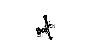 N#CCC1=CN(c2nc(OCCOC3CC3)nc3c2CCN(c2cc(O)cc4ccccc24)C3)CCN1C(=O)/C=C/CN1CCCC1